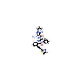 CC(NC(=O)c1c(N)nn2cccnc12)c1nc2cccc(C#Cc3nccs3)c2c(=O)n1-c1ccccc1